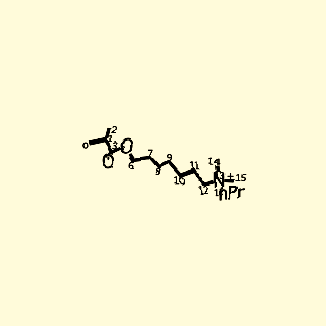 C=C(C)C(=O)OCCCCCCC[N+](C)(C)CCC